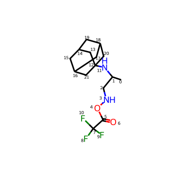 CC(CNOC(=O)C(F)(F)F)NC12CC3CC(CC(C3)C1)C2